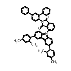 CC1=CC(C)C(c2ccc3c(c2)c2cc(-c4ccc(C)cc4C)ccc2n3-c2cccc3c2C(=O)N(c2ccc(-c4ccccc4)cc2-c2ccccc2)C3=O)C=C1